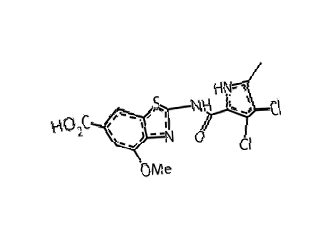 COc1cc(C(=O)O)cc2sc(NC(=O)c3[nH]c(C)c(Cl)c3Cl)nc12